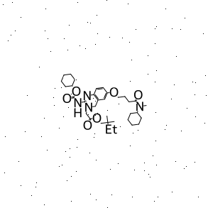 CCC(C)(C)COC(=O)CN1Cc2cc(OCCCC(=O)N(C)C3CCCCC3)ccc2N=C1NC(=O)OC1CCCCC1